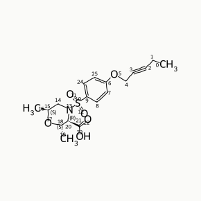 CCC#CCOc1ccc(S(=O)(=O)N2C[C@H](C)O[C@@H](C)[C@@H]2C(=O)O)cc1